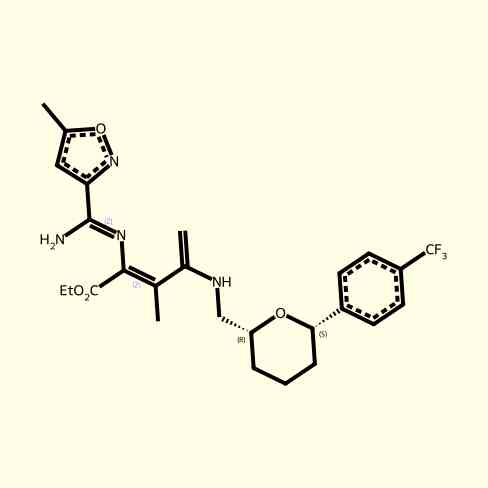 C=C(NC[C@H]1CCC[C@@H](c2ccc(C(F)(F)F)cc2)O1)/C(C)=C(\N=C(/N)c1cc(C)on1)C(=O)OCC